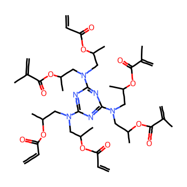 C=CC(=O)OC(C)CN(CC(C)OC(=O)C=C)c1nc(N(CC(C)OC(=O)C=C)CC(C)OC(=O)C(=C)C)nc(N(CC(C)OC(=O)C(=C)C)CC(C)OC(=O)C(=C)C)n1